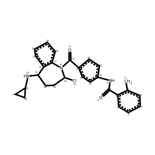 Cc1ccccc1C(=O)Nc1ccc(C(=O)N2c3ccccc3C(NC3CC3)CCC2Cl)cc1